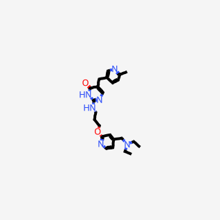 CCN(CC)Cc1ccnc(OCCCNc2ncc(Cc3ccc(C)nc3)c(=O)[nH]2)c1